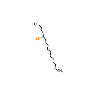 CCCCCCCCCCCC(P)CCCC